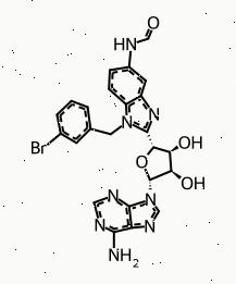 Nc1ncnc2c1ncn2[C@@H]1O[C@H](c2nc3cc(NC=O)ccc3n2Cc2cccc(Br)c2)[C@@H](O)[C@H]1O